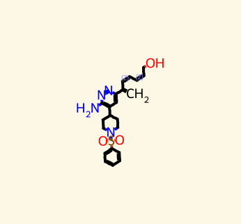 C=C(/C=C\C=C/CO)c1cc(C2CCN(S(=O)(=O)c3ccccc3)CC2)c(N)nn1